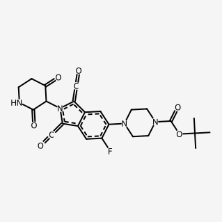 CC(C)(C)OC(=O)N1CCN(c2cc3c(=C=O)n(C4C(=O)CCNC4=O)c(=C=O)c3cc2F)CC1